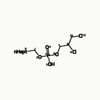 CCCCCCCCOP(=O)(O)OCC(Cl)CCl